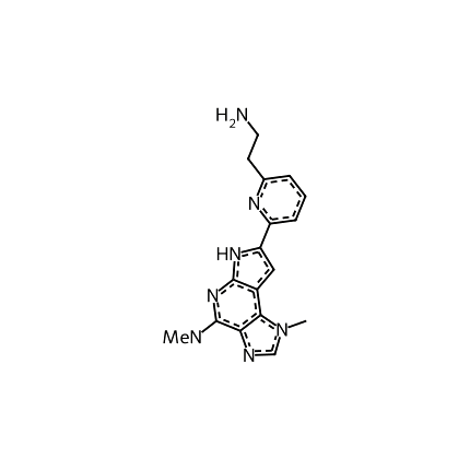 CNc1nc2[nH]c(-c3cccc(CCN)n3)cc2c2c1ncn2C